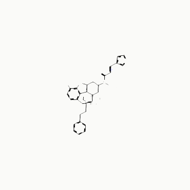 CN(C(=O)/C=C/c1ccoc1)C1CC2Oc3c(O)ccc4c3[C@@]23CCN(CCc2ccccc2)[C@H](C4)[C@]3(O)C1